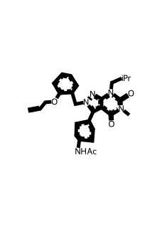 C=CCOc1ccccc1Cn1nc2c(c1-c1ccc(NC(C)=O)cc1)c(=O)n(C)c(=O)n2CC(C)C